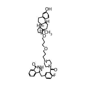 C[C@]12CC[C@@H]3c4ccc(O)cc4CC[C@H]3[C@@H]1CC[C@@H]2OCCCOCCCN1CCN(C(=O)c2cc(Cc3n[nH]c(=O)c4ccccc34)ccc2F)CC1